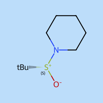 CC(C)(C)[S@@+]([O-])N1CCCCC1